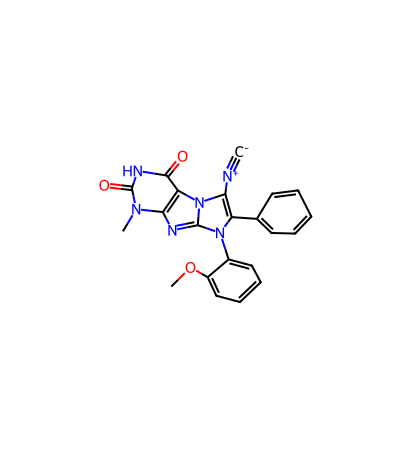 [C-]#[N+]c1c(-c2ccccc2)n(-c2ccccc2OC)c2nc3c(c(=O)[nH]c(=O)n3C)n12